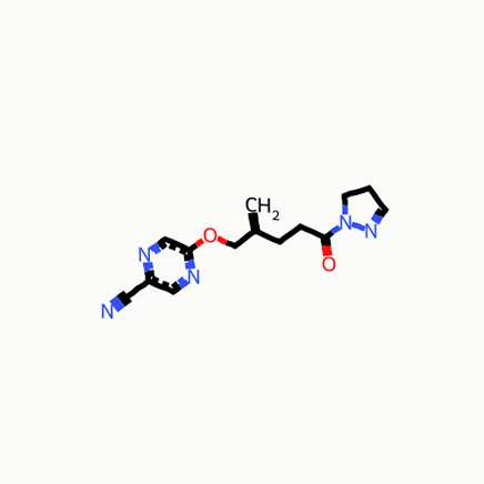 C=C(CCC(=O)N1CCC=N1)COc1cnc(C#N)cn1